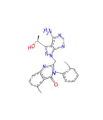 Cc1ccccc1-n1c(Cn2nc([C@H](C)O)c3c(N)ncnc32)nc2cccc(C)c2c1=O